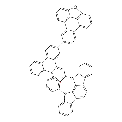 c1ccc(-n2c3ccccc3c3ccc4c5ccccc5n(-c5ccc6c7ccccc7c7ccc(-c8ccc9c(c8)c8cccc%10oc%11cccc9c%11c%108)cc7c6c5)c4c32)cc1